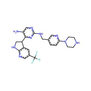 Nc1cnc(NCc2ccc(N3CCNCC3)nc2)nc1C1CNc2ncc(C(F)(F)F)cc21